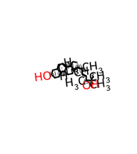 CC(C)[C@](C)(O)C=C[C@@H](C)[C@H]1CC[C@H]2C3=CC=C4C[C@@H](O)CC[C@]4(C)[C@H]3CC[C@]12C